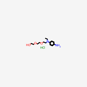 CCN(CCOCCOCCO)c1ccc(N)cc1.Cl